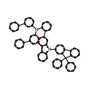 c1ccc(-c2cccc(N(c3cccc(-c4ccccc4)c3)c3ccccc3-c3ccc4c5ccccc5n(-c5ccc6c(c5)C(c5ccccc5)(c5ccccc5)c5ccccc5-6)c4c3)c2)cc1